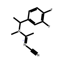 C/C(=N\C#N)N(C)C(C)c1ccc(F)c(F)c1